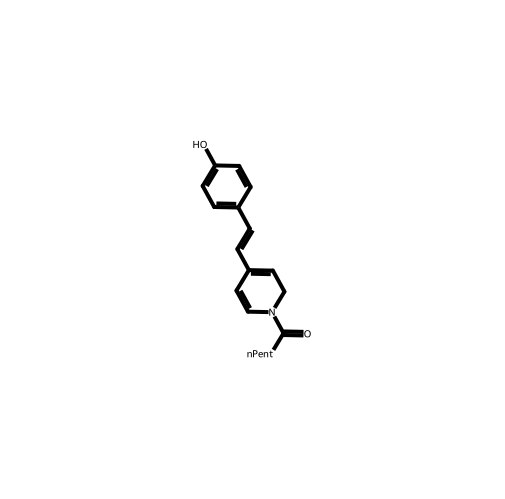 CCCCCC(=O)N1C=CC(C=Cc2ccc(O)cc2)=CC1